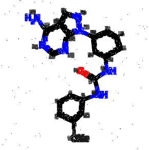 COc1cccc(NC(=O)Nc2cccc(-n3ncc4c(N)ncnc43)c2)c1